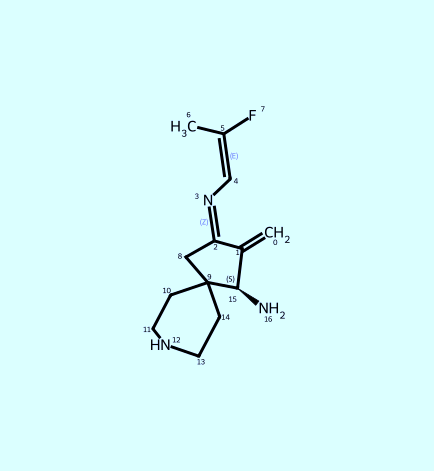 C=C1/C(=N\C=C(/C)F)CC2(CCNCC2)[C@@H]1N